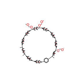 COCOC12CCC(C)(CC1)c1ccc(cc1)-c1ccc(cc1)-c1ccc(cc1)C1(C)CCC(C)(CC1)c1ccc(cc1)-c1ccc(cc1)C1(OCOC)CCC(OCOC)(CC1)c1ccc(cc1)-c1ccc(cc1)-c1ccc2cc1